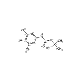 CC(C)(C)OC(=O)Nc1cc(O)c(Cl)c(Cl)c1